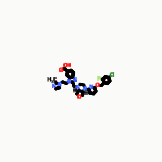 Cc1nccn1CCn1c(CN2CCN(c3cccc(OCc4ccc(Cl)cc4F)n3)[C@H]3COC[C@H]32)nc2ccc(C(=O)O)cc21